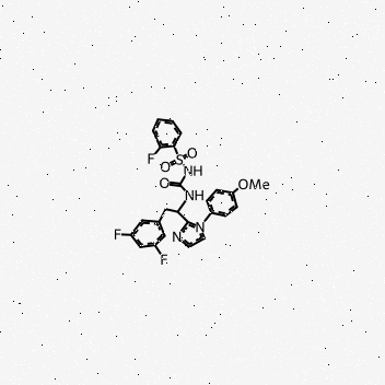 COc1ccc(-n2ccnc2C(Cc2cc(F)cc(F)c2)NC(=O)NS(=O)(=O)c2ccccc2F)cc1